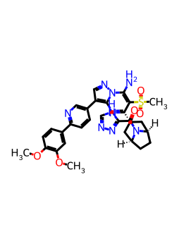 COc1ccc(-c2ccc(-c3cnn4c(N)c(S(C)(=O)=O)c([C@@H]5C[C@H]6CC[C@@H](C5)N6C(=O)c5nnc[nH]5)nc34)cn2)cc1OC